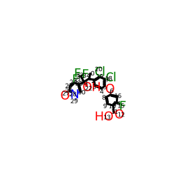 CC(c1ccc(Oc2ccc(C(=O)O)c(F)c2)c(Cl)c1Cl)C(O)(c1ccc(=O)n(C)c1)C(F)(F)F